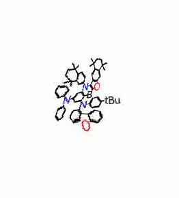 CC(C)(C)c1ccc2c(c1)B1c3oc4cc5c(cc4c3N(c3ccc4c(c3)C(C)(C)CCC4(C)C)c3cc(N(c4ccccc4)c4ccccc4)cc(c31)N2c1cccc2oc3ccccc3c12)C(C)(C)CCC5(C)C